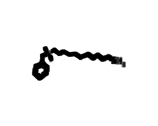 C[N+](C)(CCCCCCCCCCC[SiH3])Cc1ccccc1